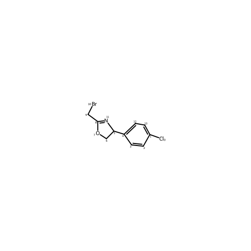 Clc1ccc(C2COC(CBr)=N2)cc1